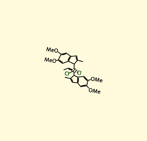 C[CH]=[Zr]([Cl])([Cl])([CH]1C(C)=Cc2cc(OC)c(OC)cc21)[CH]1C(C)=Cc2cc(OC)c(OC)cc21